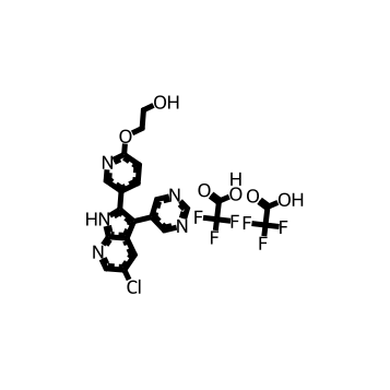 O=C(O)C(F)(F)F.O=C(O)C(F)(F)F.OCCOc1ccc(-c2[nH]c3ncc(Cl)cc3c2-c2cncnc2)cn1